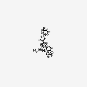 Nc1nc2c3c(ccc2c2nc([C@H]4CC[C@@H](N5CCCC(F)(F)C5)C4)nn12)OC(F)(F)O3